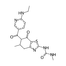 CCNc1ccc(C(=O)C2C(=O)c3sc(NC(=O)NC)nc3CC2C)cn1